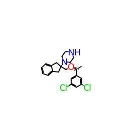 C[C@H](OCC1(N2CCNCC2)Cc2ccccc2C1)c1cc(Cl)cc(Cl)c1